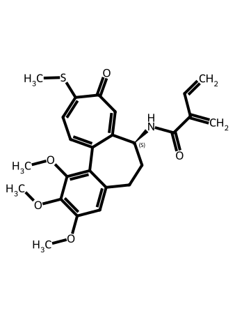 C=CC(=C)C(=O)N[C@H]1CCc2cc(OC)c(OC)c(OC)c2-c2ccc(SC)c(=O)cc21